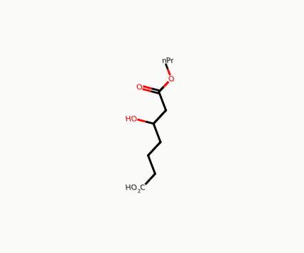 CCCOC(=O)CC(O)CCCC(=O)O